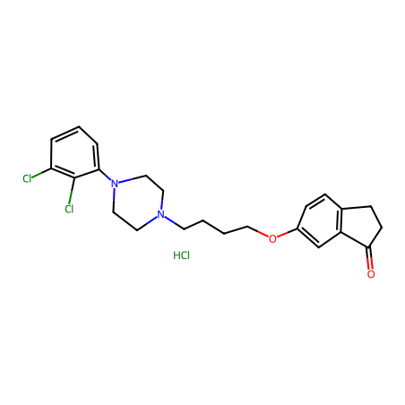 Cl.O=C1CCc2ccc(OCCCCN3CCN(c4cccc(Cl)c4Cl)CC3)cc21